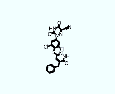 N#Cc1nn(-c2cc(Cl)c(Sc3cc(Cc4ccccc4)c(=O)[nH]n3)c(Cl)c2)c(=O)[nH]c1=O